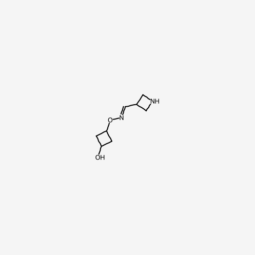 OC1CC(ON=CC2CNC2)C1